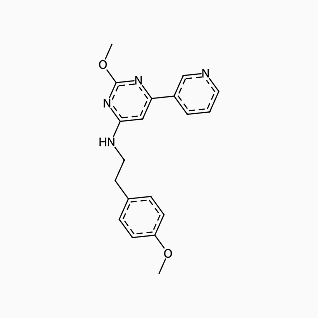 COc1ccc(CCNc2cc(-c3cccnc3)nc(OC)n2)cc1